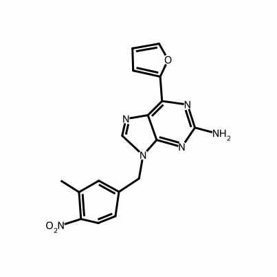 Cc1cc(Cn2cnc3c(-c4ccco4)nc(N)nc32)ccc1[N+](=O)[O-]